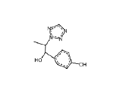 CC(C(O)c1ccc(O)cc1)n1ncnn1